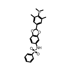 Cc1cc(C2Oc3ccc(NS(=O)(=O)c4ccccc4)cc3O2)cc(C)c1N(C)C